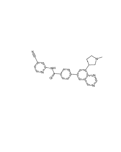 CN1CCC(c2cc(-c3ccc(C(=O)Nc4cc(C#N)ccn4)cc3)cc3cncnc23)C1